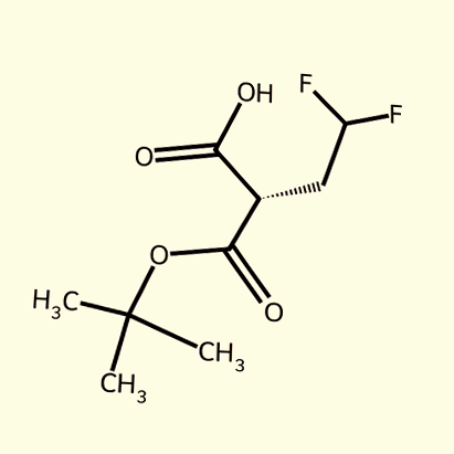 CC(C)(C)OC(=O)[C@@H](CC(F)F)C(=O)O